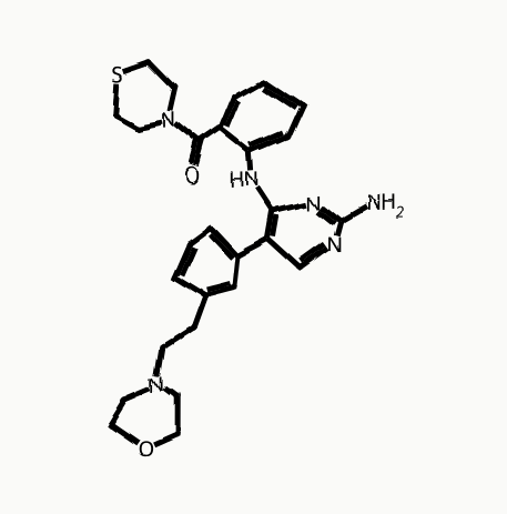 Nc1ncc(-c2cccc(CCN3CCOCC3)c2)c(Nc2ccccc2C(=O)N2CCSCC2)n1